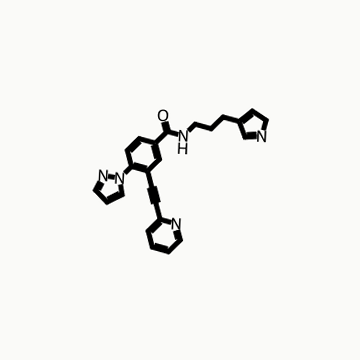 O=C(NCCCC1=CCN=C1)c1ccc(-n2cccn2)c(C#Cc2ccccn2)c1